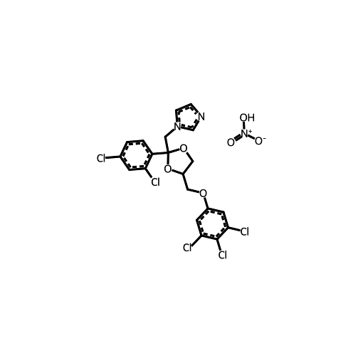 Clc1ccc(C2(Cn3ccnc3)OCC(COc3cc(Cl)c(Cl)c(Cl)c3)O2)c(Cl)c1.O=[N+]([O-])O